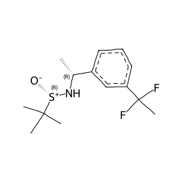 C[C@@H](N[S@@+]([O-])C(C)(C)C)c1cccc(C(C)(F)F)c1